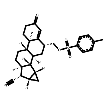 Cc1ccc(S(=O)(=O)OC[C@@H]2C[C@H]3[C@@H]4[C@@H]5C[C@@H]5[C@H](C#N)[C@@]4(C)CC[C@@H]3[C@@]3(C)CCC(=O)C=C23)cc1